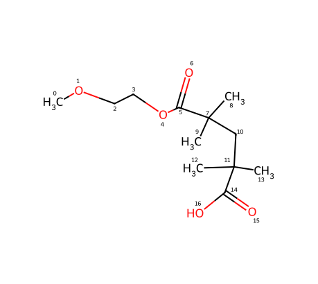 COCCOC(=O)C(C)(C)CC(C)(C)C(=O)O